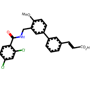 COc1ccc(-c2cccc(C=CC(=O)O)c2)cc1CNC(=O)c1ccc(Cl)cc1Cl